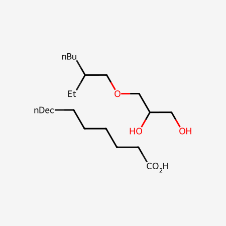 CCCCC(CC)COCC(O)CO.CCCCCCCCCCCCCCCC(=O)O